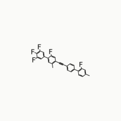 Cc1ccc(-c2ccc(C#Cc3cc(F)c(-c4cc(F)c(F)c(F)c4)cc3C)cc2)c(F)c1